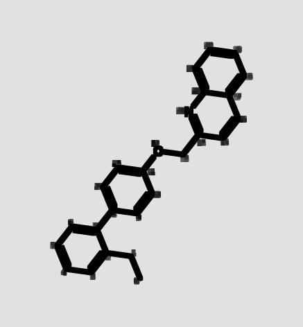 CCc1ccccc1-c1ccc(OCc2ccc3ccccc3n2)cc1